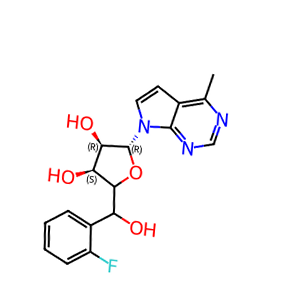 Cc1ncnc2c1ccn2[C@@H]1OC(C(O)c2ccccc2F)[C@@H](O)[C@H]1O